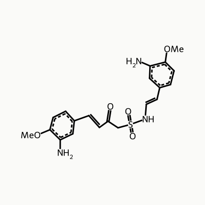 COc1ccc(C=CNS(=O)(=O)CC(=O)C=Cc2ccc(OC)c(N)c2)cc1N